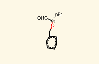 CCC[C@@H](C=O)OCc1ccccc1